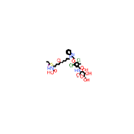 CCC(I)SC(CCCC(=O)CCCCCn1c(COc2c(Cl)cc(C(=O)N[C@H]3[C@@H](OC)O[C@H](CO)[C@@H](O)[C@@H]3O)c(C)c2Cl)nc2ccccc21)NC(=O)O